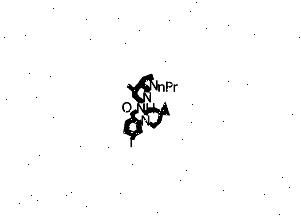 CCCn1ccc2c(C)cc(NC(=O)c3ccc(I)cc3N3CCC4(CC3)CC4)nc21